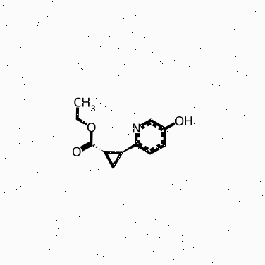 CCOC(=O)[C@H]1C[C@@H]1c1ccc(O)cn1